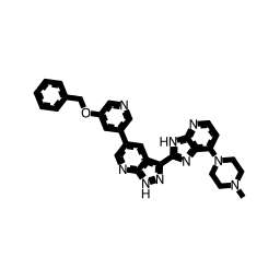 CN1CCN(c2ccnc3[nH]c(-c4n[nH]c5ncc(-c6cncc(OCc7ccccc7)c6)cc45)nc23)CC1